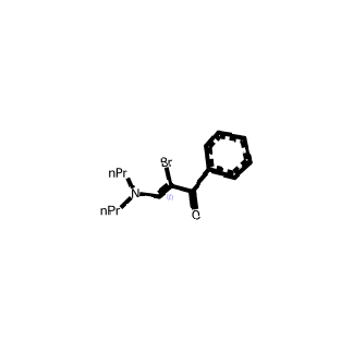 CCCN(/C=C(\Br)C(=O)c1ccccc1)CCC